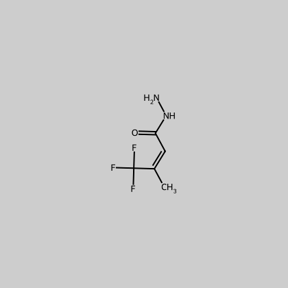 CC(=CC(=O)NN)C(F)(F)F